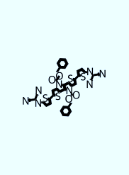 N#CC(C#N)=Nc1ccc(-c2cc3c(s2)c2c(c4sc(-c5ccc(N=C(C#N)C#N)s5)cc4n2C(=O)OCc2ccccc2)n3C(=O)OCc2ccccc2)s1